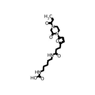 C=CC(=O)N1CCN(c2ccc(CCC(=O)NCCCCCNC(=O)O)o2)C(=O)C1